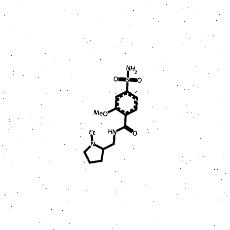 CCN1CCCC1CNC(=O)c1ccc(S(N)(=O)=O)cc1OC